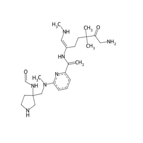 C=C(N/C(=C/NC)CCC(C)(C)C(=O)CN)c1cccc(N(C)CC2(NC=O)CCNC2)n1